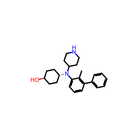 Cc1c(-c2ccccc2)cccc1N(C1CCNCC1)[C@H]1CC[C@H](O)CC1